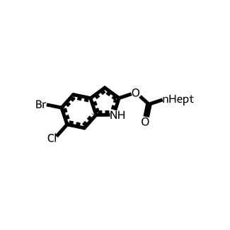 CCCCCCCC(=O)Oc1cc2cc(Br)c(Cl)cc2[nH]1